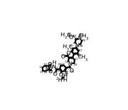 [2H]C([2H])([2H])Oc1c(C(=O)NS(=O)(=O)N2C3CCC2CC3)ccc(C(=O)N2CCc3c(c(=O)oc4c(C)c(N5CCN(C)[C@@H](COC)C5)cc(C)c34)C2)c1F